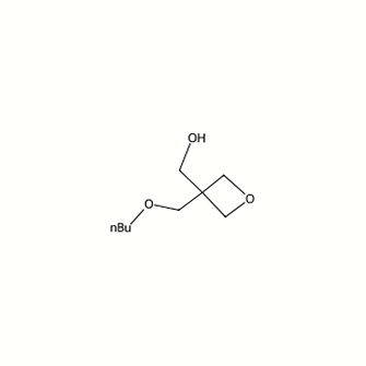 CCCCOCC1(CO)COC1